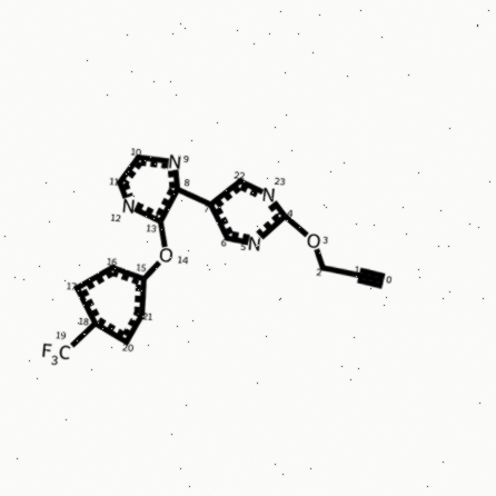 C#CCOc1ncc(-c2nccnc2Oc2ccc(C(F)(F)F)cc2)cn1